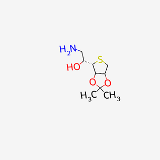 CC1(C)OC2CS[C@@H](C(O)CN)C2O1